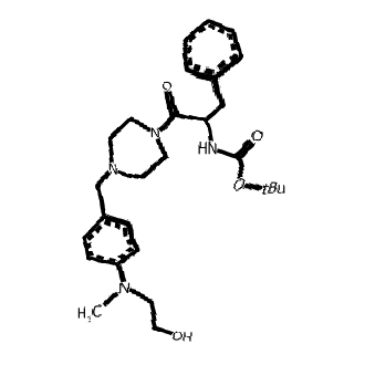 CN(CCO)c1ccc(CN2CCN(C(=O)C(Cc3ccccc3)NC(=O)OC(C)(C)C)CC2)cc1